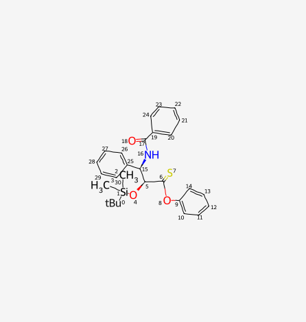 CC(C)(C)[Si](C)(C)O[C@H](C(=S)Oc1ccccc1)[C@H](NC(=O)c1ccccc1)c1ccccc1